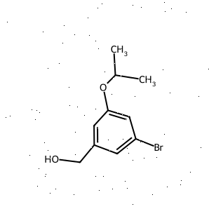 CC(C)Oc1cc(Br)cc(CO)c1